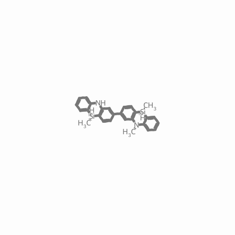 CN1c2ccccc2[Si@@H](C)c2ccc(-c3ccc4c(c3)Nc3ccccc3[Si@@H]4C)cc21